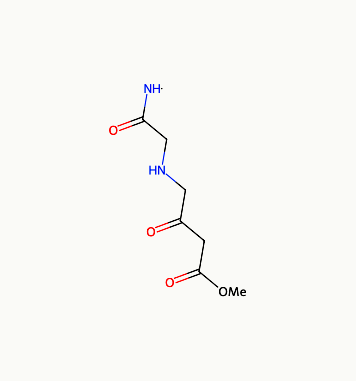 COC(=O)CC(=O)CNCC([NH])=O